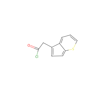 O=C(Cl)Cc1ccc2scccc1-2